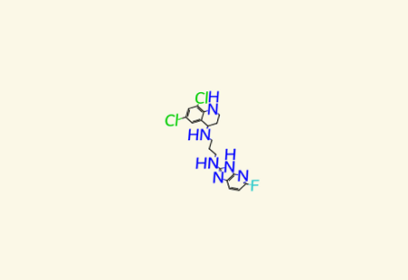 Fc1ccc2nc(NCCCN[C@@H]3CCNc4c(Cl)cc(Cl)cc43)[nH]c2n1